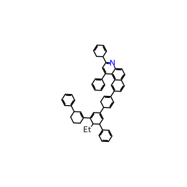 CCC1C(C2=CC(c3ccccc3)CCC2)=CC(C2C=CC(c3ccc4ccc5nc(C6C=CC=CC6)cc(-c6ccccc6)c5c4c3)=CC2)=CC1c1ccccc1